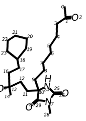 CC(=O)CCCCCCCC1(CCC(C)(O)CCC2CCCCC2)NC(=O)N(C)C1=O